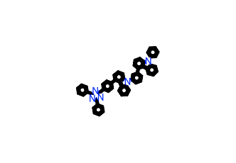 c1ccc(-c2nc(-c3ccccc3)nc(-c3ccc(-c4cccc5c4c4ccccc4n5-c4cccc(-c5cccc6c5c5ccccc5n6-c5ccccc5)c4)cc3)n2)cc1